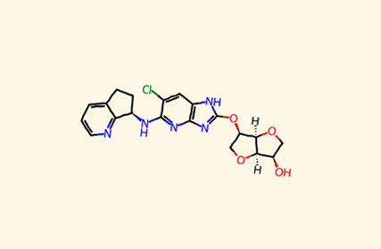 O[C@@H]1CO[C@H]2[C@@H]1OC[C@H]2Oc1nc2nc(N[C@@H]3CCc4cccnc43)c(Cl)cc2[nH]1